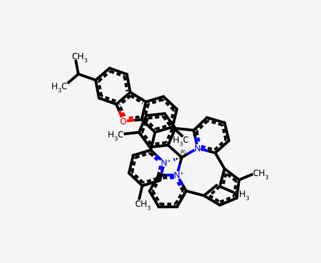 Cc1ccc2c(c1)[C@]1([n+]3cc(C)ccc3-c3c(C)ccc4c3oc3cc(C(C)C)ccc34)[n+]3ccccc3-c3ccc(C)c(c3C)-c3cccc-2[n+]31